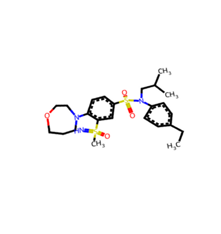 CCc1ccc(N(CC(C)C)S(=O)(=O)c2ccc(N3CCCOCC3)c(S(C)(=N)=O)c2)cc1